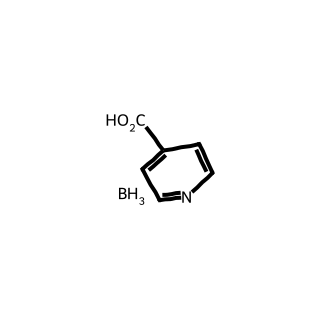 B.O=C(O)c1ccncc1